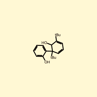 CC(C)(C)C1=CC=CC(c2ccccc2O)(C(C)(C)C)C1O